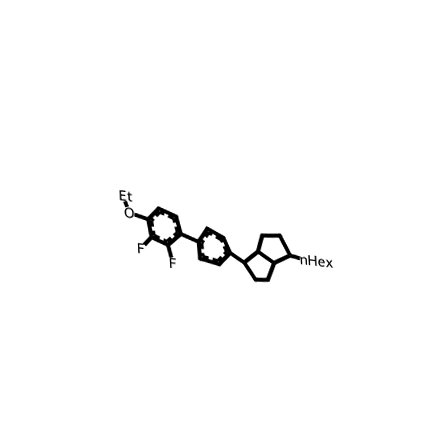 CCCCCCC1CCC2C(c3ccc(-c4ccc(OCC)c(F)c4F)cc3)CCC12